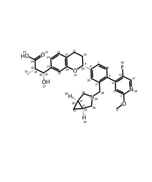 COc1cc(-c2ccc([C@H]3CCc4ccc([C@H](O)[C@H](C)C(=O)O)cc4O3)cc2CN2C[C@H]3C[C@H]3C2)c(F)cn1